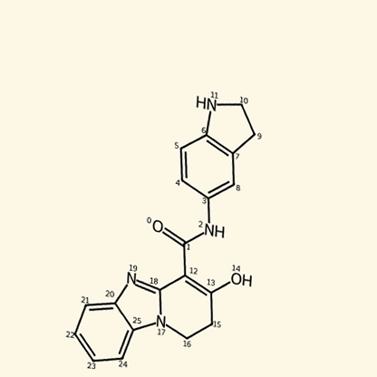 O=C(Nc1ccc2c(c1)CCN2)C1=C(O)CCn2c1nc1ccccc12